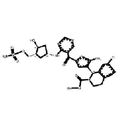 Cc1sc(C(=O)c2cncnc2N[C@@H]2C[C@H](COS(N)(=O)=O)[C@@H](O)C2)cc1[C@H]1c2cc(Cl)ccc2CCN1C(=O)OC(C)(C)C